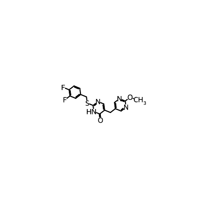 COc1ncc(Cc2cnc(SCc3ccc(F)c(F)c3)[nH]c2=O)cn1